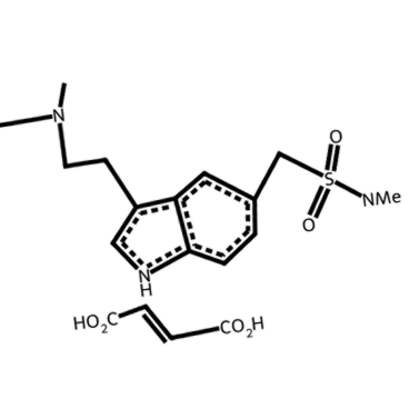 CNS(=O)(=O)Cc1ccc2[nH]cc(CCN(C)C)c2c1.O=C(O)C=CC(=O)O